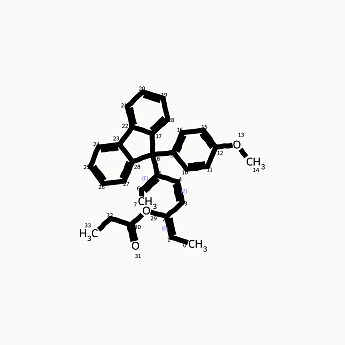 C\C=C(/C=C\C(=C/C)C1(c2ccc(OC)cc2)c2ccccc2-c2ccccc21)OC(=O)CC